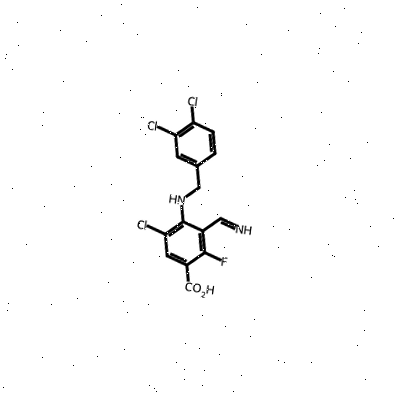 N=Cc1c(F)c(C(=O)O)cc(Cl)c1NCc1ccc(Cl)c(Cl)c1